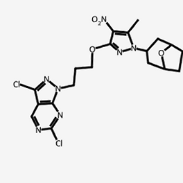 Cc1c([N+](=O)[O-])c(OCCCn2nc(Cl)c3cnc(Cl)nc32)nn1C1CC2CCC(C1)O2